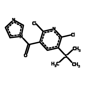 CS(C)(C)c1cc(C(=O)n2ccnc2)c(Cl)nc1Cl